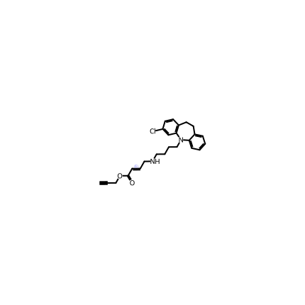 C#CCOC(=O)/C=C/CNCCCCN1c2ccccc2CCc2ccc(Cl)cc21